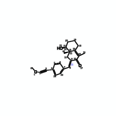 COC#Cc1ccc(/C=C2\C[C@@]3(C)C(=C(C)C2=O)CCC[C@@H]3O)cc1